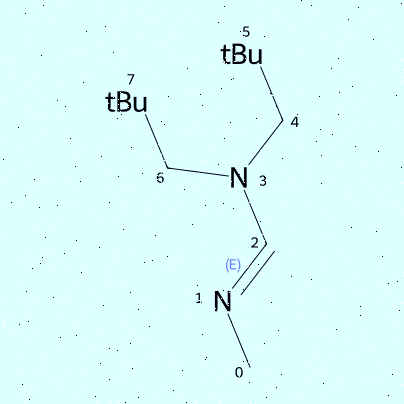 C/N=C/N(CC(C)(C)C)CC(C)(C)C